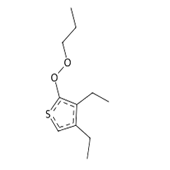 CCCOOc1scc(CC)c1CC